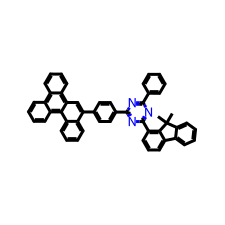 CC1(C)c2ccccc2-c2cccc(-c3nc(-c4ccccc4)nc(-c4ccc(-c5cc6c7ccccc7c7ccccc7c6c6ccccc56)cc4)n3)c21